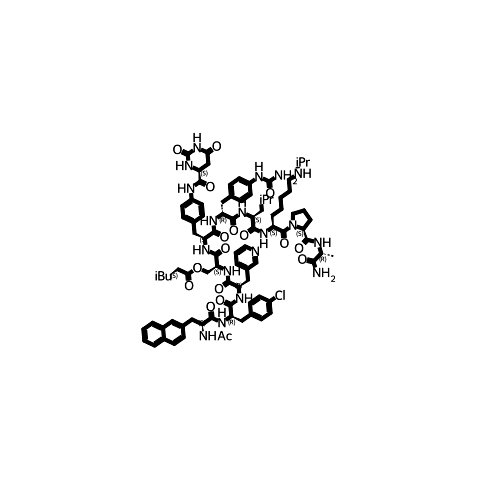 CC[C@H](C)CC(=O)OC[C@H](NC(=O)[C@@H](Cc1cccnc1)NC(=O)[C@@H](Cc1ccc(Cl)cc1)NC(=O)[C@@H](Cc1ccc2ccccc2c1)NC(C)=O)C(=O)N[C@@H](Cc1ccc(NC(=O)[C@@H]2CC(=O)NC(=O)N2)cc1)C(=O)N[C@H](Cc1ccc(NC(N)=O)cc1)C(=O)N[C@@H](CC(C)C)C(=O)N[C@@H](CCCCCNC(C)C)C(=O)N1CCC[C@H]1C(=O)N[C@H](C)C(N)=O